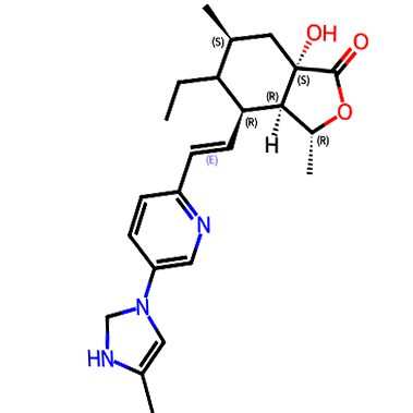 CCC1[C@@H](C)C[C@@]2(O)C(=O)O[C@H](C)[C@H]2[C@H]1/C=C/c1ccc(N2C=C(C)NC2)cn1